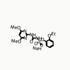 CCOc1ccccc1OS(=O)(=O)NC(=O)Nc1nc(OC)cc(OC)n1.[NaH]